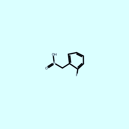 O=[P](O)Cc1ccccc1F